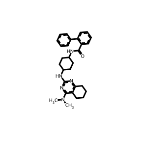 CN(C)c1nc(NC2CCC(NC(=O)c3ccccc3-c3ccccc3)CC2)nc2c1CCCC2